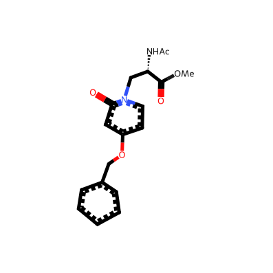 COC(=O)[C@H](Cn1ccc(OCc2ccccc2)cc1=O)NC(C)=O